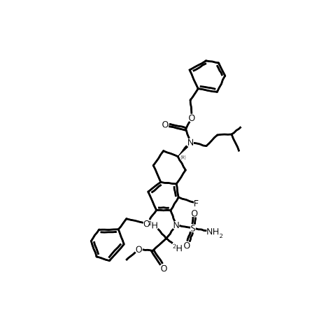 [2H]C([2H])(C(=O)OC)N(c1c(OCc2ccccc2)cc2c(c1F)C[C@H](N(CCC(C)C)C(=O)OCc1ccccc1)CC2)S(N)(=O)=O